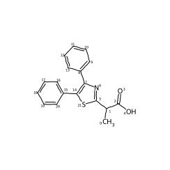 CC(C(=O)O)c1nc(-c2ccccc2)c(-c2ccccc2)s1